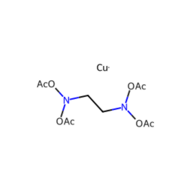 CC(=O)ON(CCN(OC(C)=O)OC(C)=O)OC(C)=O.[Cu]